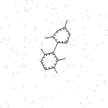 Nc1ccc(O)c(-c2ccc(Cl)cc2O)c1O